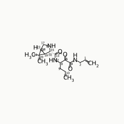 C=CCNC(=O)C(=O)C(CCC)NC(=O)[C@H]1NC[C@H]2C1C2(C)C